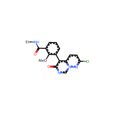 CCNC(=O)c1cccc(-c2c(=O)ncn3nc(Cl)ccc23)c1OC